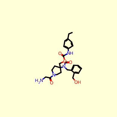 CCc1ccc(NC(=O)OCC2(N(C=O)Cc3ccccc3CO)CCN(C(=O)CN)CC2)cc1